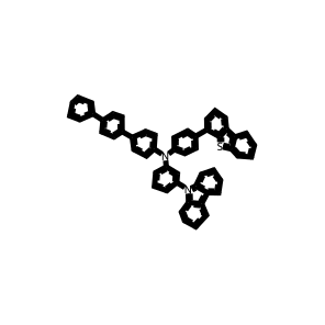 c1ccc(-c2ccc(-c3ccc(N(c4ccc(-c5cccc6c5sc5ccccc56)cc4)c4cccc(-n5c6ccccc6c6ccccc65)c4)cc3)cc2)cc1